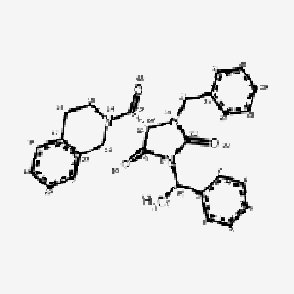 C[C@H](c1ccccc1)N1C(=O)[C@H](C(=O)N2CCc3ccccc3C2)N(Cc2ccccc2)C1=O